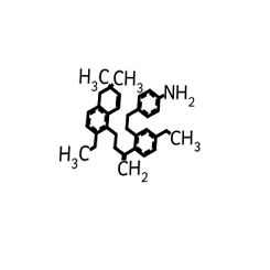 C=C(CCc1c(CC)ccc2c1C=CC(C)(C)C2)c1ccc(CC)cc1CCc1ccc(N)cc1